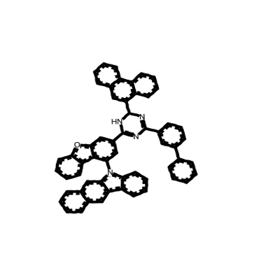 c1ccc(-c2cccc(C3=NC(c4cc5ccccc5c5ccccc45)NC(c4cc(-n5c6ccccc6c6cc7ccccc7cc65)c5c(c4)oc4ccccc45)=N3)c2)cc1